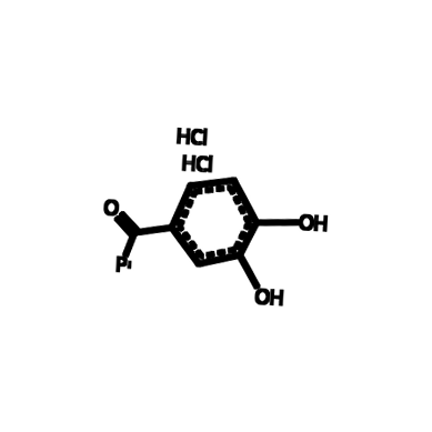 Cl.Cl.O=C([P])c1ccc(O)c(O)c1